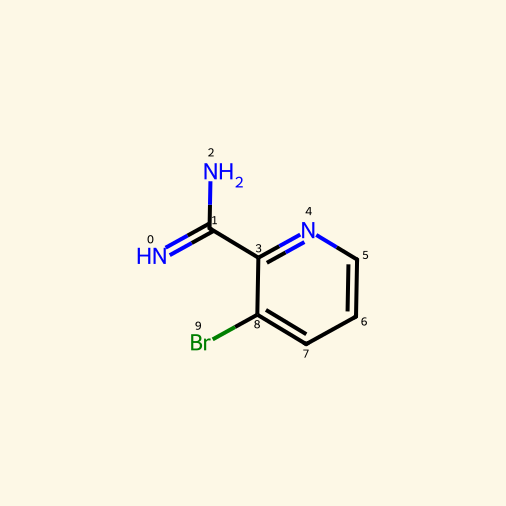 N=C(N)c1ncccc1Br